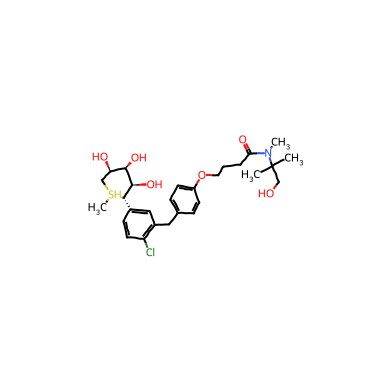 CN(C(=O)CCCOc1ccc(Cc2cc([C@H]3[C@H](O)[C@H](O)[C@H](O)C[SH]3C)ccc2Cl)cc1)C(C)(C)CO